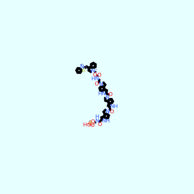 CN1/C(=C/c2cc[n+](COC(=O)NCC(=O)N3CCc4c3ccc3[nH]c(C(=O)N5CCc6c5ccc5[nH]c(C(=O)N7CCc8c7ccc7[nH]c(C(=O)NCOP(C)(=O)O)cc87)cc65)cc43)c3ccccc23)Sc2ccccc21